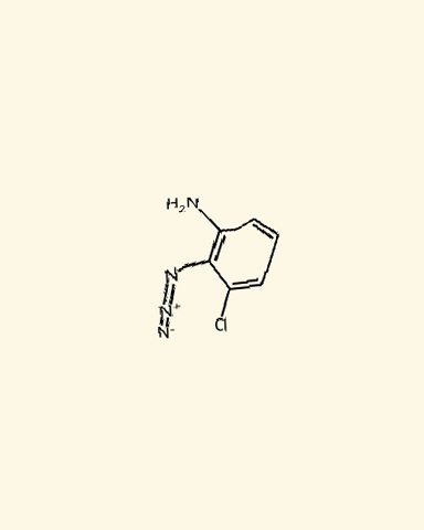 [N-]=[N+]=Nc1c(N)cccc1Cl